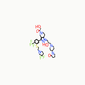 O=C(CO)N1CCc2c(c(-c3ccc(C(F)(F)F)c(SCCN4CCC(F)(F)C4)c3)nn2CC(O)CN2CCC(N3CCCC3=O)CC2)C1